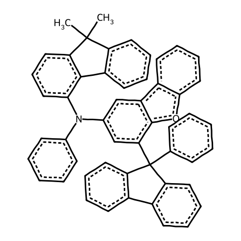 CC1(C)c2ccccc2-c2c(N(c3ccccc3)c3cc(C4(c5ccccc5)c5ccccc5-c5ccccc54)c4oc5ccccc5c4c3)cccc21